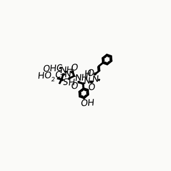 CN(C(=O)C=Cc1ccccc1)C(=O)NC(C(=O)N[C@H]1C(=O)N2[C@@H]1SC(C)(C)[C@]2(NC=O)C(=O)O)c1ccc(O)cc1